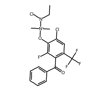 CCN(Cl)[N+](C)(C)Oc1c(Cl)cc(C(F)(F)F)c(C(=O)c2ccccc2)c1F